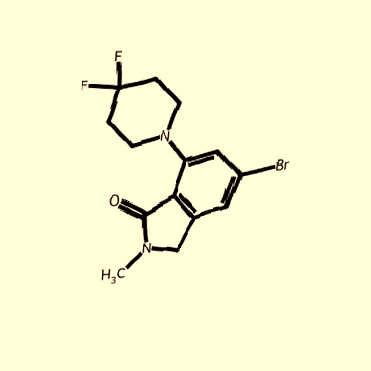 CN1Cc2cc(Br)cc(N3CCC(F)(F)CC3)c2C1=O